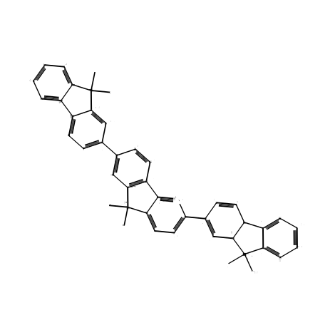 CC1(C)c2ccccc2-c2ccc(-c3ccc4c(c3)C(C)(C)c3ccc(C5=CC6C(C=C5)c5ccccc5C6(C)C)nc3-4)cc21